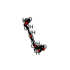 CC[C@@H]1C(=O)N(C)c2cnc(Nc3ccc(C(=O)NCCOCCOCCOCCNCCCCC(=O)Nc4cccc5c4CN(C4CCC(=O)NC4=O)C5=O)cc3OC)nc2N1Cc1ccc(Cl)s1